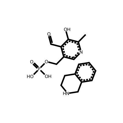 Cc1ncc(COP(=O)(O)O)c(C=O)c1O.c1ccc2c(c1)CCNC2